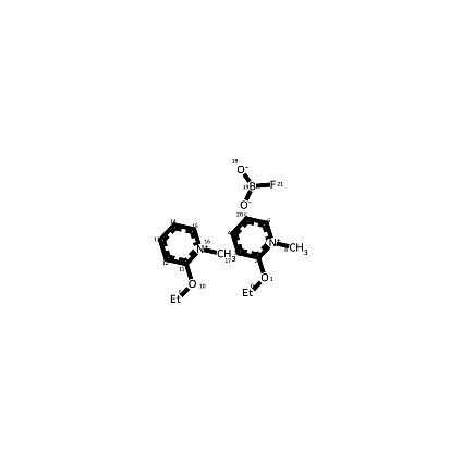 CCOc1cccc[n+]1C.CCOc1cccc[n+]1C.[O-]B([O-])F